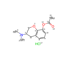 CCCN(CCC)C1COc2c(cccc2OC(=O)C(C)(C)C)C1.Cl